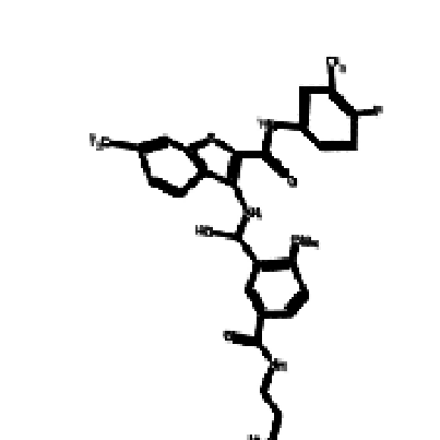 COCCNC(=O)c1ccc(OC)c(C(O)Nc2c(C(=O)Nc3ccc(F)c(C(F)(F)F)c3)sc3cc(C(F)(F)F)ccc23)c1